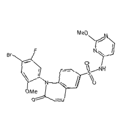 COc1nccc(NS(=O)(=O)c2ccc3c(ccc(=O)n3-c3cc(F)c(Br)cc3OC)c2)n1